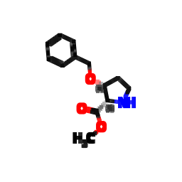 COC(=O)[C@H]1NCC[C@H]1OCc1ccccc1